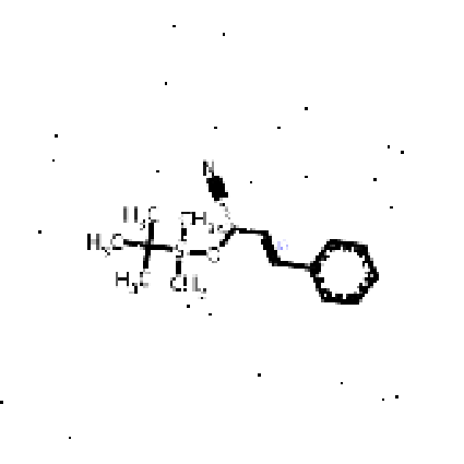 CC(C)(C)[Si](C)(C)O[C@H](C#N)/C=C/c1ccccc1